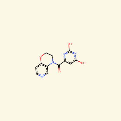 O=C(c1cc(O)nc(O)n1)N1CCOc2ccncc21